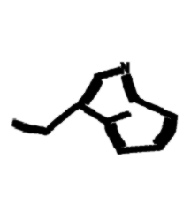 CCC1=C/N=C/C=C\C=C\1C